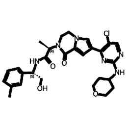 Cc1cccc([C@@H](CO)NC(=O)[C@@H](C)N2CCn3cc(-c4nc(NC5CCOCC5)ncc4Cl)cc3C2=O)c1